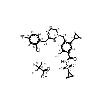 O=C(NS(=O)(=O)C1CC1)c1cc(C2CC2)c(CN2CCOC(Cc3ccc(F)cc3Cl)C2)cc1F.O=C(O)C(F)(F)F